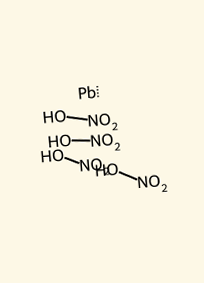 O=[N+]([O-])O.O=[N+]([O-])O.O=[N+]([O-])O.O=[N+]([O-])O.[Pb]